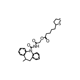 CC1Cc2ccccc2N(C(=O)NC(=O)COC(=O)CCCCC2CCSS2)c2ccccc21